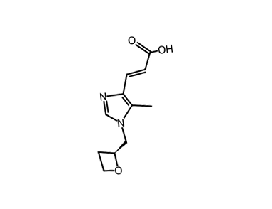 Cc1c(/C=C/C(=O)O)ncn1C[C@@H]1CCO1